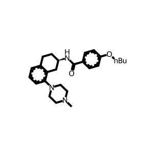 CCCCOc1ccc(C(=O)N[C@@H]2CCc3cccc(N4CCN(C)CC4)c3C2)cc1